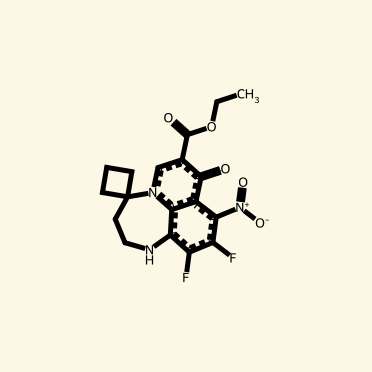 CCOC(=O)c1cn2c3c(c(F)c(F)c([N+](=O)[O-])c3c1=O)NCCC21CCC1